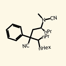 CCCCCCC(CCC)C(C#N)(C[C@H](CCC)N(C)C#N)c1ccccc1